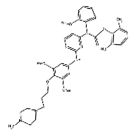 CCOc1ccccc1N(C(=O)Oc1c(C)cccc1C)c1ccnc(Nc2cc(OC)c(OCCCN3CCN(C)CC3)c(OC)c2)n1